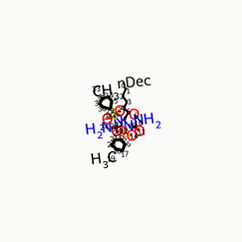 CCCCCCCCCCCCCCC(=O)C(N(C(N)=O)S(=O)(=O)c1ccc(C)cc1)N(C(N)=O)S(=O)(=O)c1ccc(C)cc1